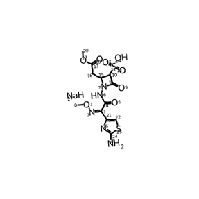 CON=C(C(=O)NN1C(=O)C(S(=O)(=O)O)C1CC(=O)OC)c1csc(N)n1.[NaH]